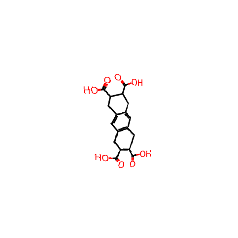 O=C(O)C1Cc2cc3c(cc2CC1C(=O)O)CC(C(=O)O)C(C(=O)O)C3